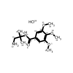 COc1cc(C(=O)NC(C)(C)CN)cc(OC)c1OC.Cl